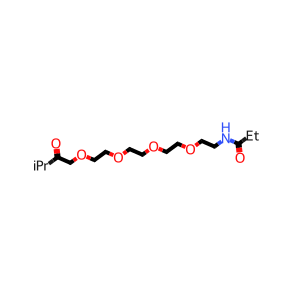 CCC(=O)NCCOCCOCCOCCOCC(=O)C(C)C